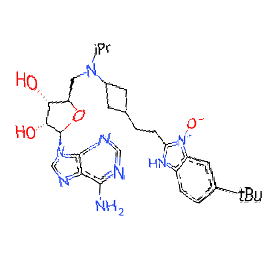 CC(C)N(C[C@H]1O[C@@H](n2cnc3c(N)ncnc32)[C@H](O)[C@@H]1O)C1CC(CCc2[nH]c3ccc(C(C)(C)C)cc3[n+]2[O-])C1